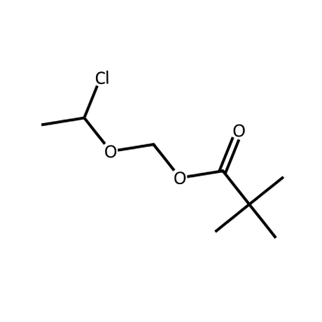 CC(Cl)OCOC(=O)C(C)(C)C